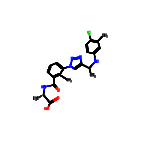 Cc1cc(NC(C)c2cn(-c3cccc(C(=O)N[C@@H](C)C(=O)O)c3C)nn2)ccc1Cl